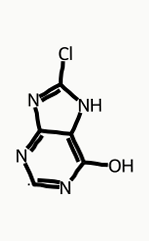 Oc1n[c]nc2nc(Cl)[nH]c12